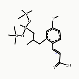 COc1ccc(/C=C/C(=O)O)c(CC(C)C[Si](C)(O[Si](C)(C)C)O[Si](C)(C)C)c1